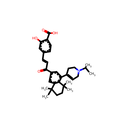 CC(C)N1CC=C(c2cc(C(=O)C=Cc3ccc(C(=O)O)c(O)c3)cc3c2C(C)(C)CCC3(C)C)CC1